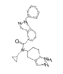 O=C(c1cccc2c1cnn2-c1ccccc1)N(C1CC1)C1CCc2[nH]ncc2C1